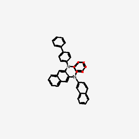 c1ccc(-c2ccc(N(c3ccccc3)c3cc4ccccc4cc3N(c3ccccc3)c3ccc4ccccc4c3)cc2)cc1